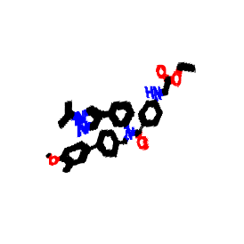 CCOC(=O)CN[C@H]1CC[C@H](C(=O)N(C[C@H]2CC[C@H](c3ccc(OC)c(C)c3)CC2)c2cccc(-c3cnn(C(C)C)c3)c2)CC1